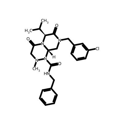 CC(C)[C@H]1C(=O)N(Cc2cccc(Cl)c2)C[C@H]2N1C(=O)CN(C)N2C(=O)NCc1ccccc1